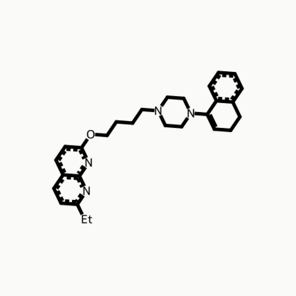 CCc1ccc2ccc(OCCCCN3CCN(C4=CCCc5ccccc54)CC3)nc2n1